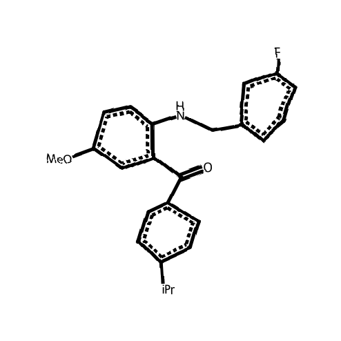 COc1ccc(NCc2cccc(F)c2)c(C(=O)c2ccc(C(C)C)cc2)c1